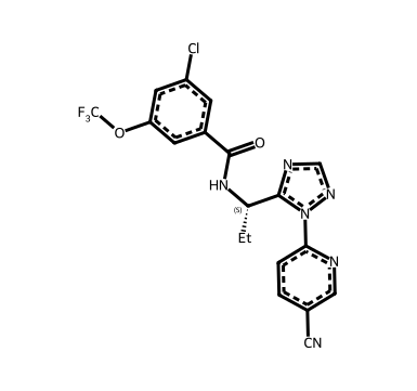 CC[C@H](NC(=O)c1cc(Cl)cc(OC(F)(F)F)c1)c1ncnn1-c1ccc(C#N)cn1